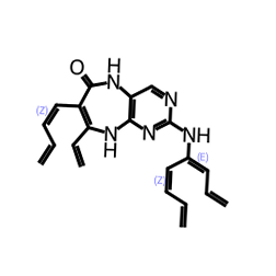 C=C/C=C\C1=C(C=C)Nc2nc(NC(/C=C\C=C)=C/C=C)ncc2NC1=O